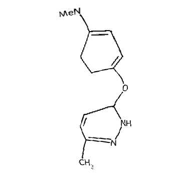 CNC1=CC=C(OC2C=CC(C)=NN2)CC1